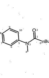 CCCCC(=O)N(C)c1ccccc1